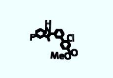 COC(=O)c1ccc(-c2cccc(-c3[nH]c4ccc(F)cc4c3C)c2)c(Cl)c1